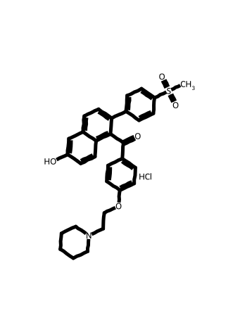 CS(=O)(=O)c1ccc(-c2ccc3cc(O)ccc3c2C(=O)c2ccc(OCCN3CCCCC3)cc2)cc1.Cl